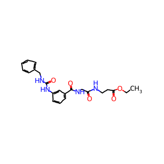 CCOC(=O)CCNC(=O)CNC(=O)c1cccc(NC(=O)NCc2ccccc2)c1